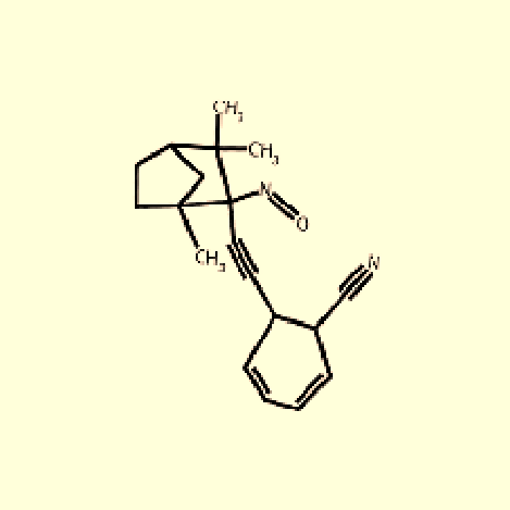 CC12CCC(C1)C(C)(C)C2(C#CC1C=CC=CC1C#N)N=O